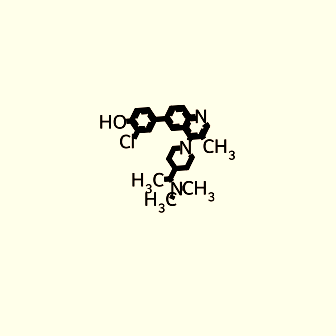 Cc1cnc2ccc(-c3ccc(O)c(Cl)c3)cc2c1N1CCC(C(C)N(C)C)CC1